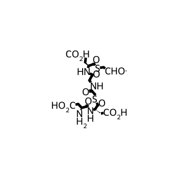 N[C@@H](CC(=O)O)C(=O)N[C@@H](CC(=O)O)C(=O)SCC(=O)NCC(=O)N[C@@H](CC(=O)O)C(=O)SC[C]=O